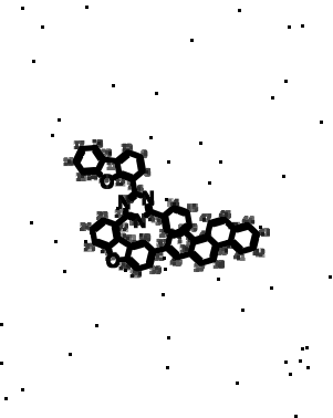 c1ccc(-c2nc(-c3cccc4c3oc3ccccc34)nc(-c3cccc4oc5ccc(-c6ccc7c(ccc8c9ccccc9ccc78)c6)cc5c34)n2)cc1